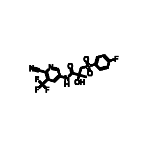 CC(O)(CS(=O)(=O)c1ccc(F)cc1)C(=O)Nc1cnc(C#N)c(C(F)(F)F)c1